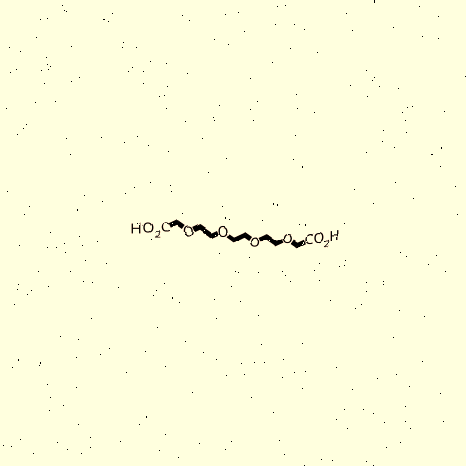 O=C(O)COCCOCCOCCOCC(=O)O